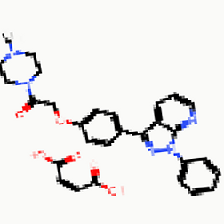 CN1CCN(C(=O)COc2ccc(-c3nn(-c4ccccc4)c4ncccc34)cc2)CC1.O=C(O)/C=C\C(=O)O